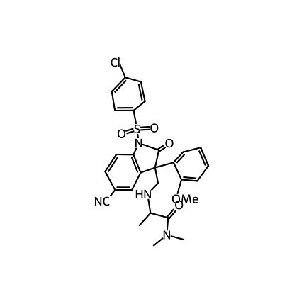 COc1ccccc1C1(CNC(C)C(=O)N(C)C)C(=O)N(S(=O)(=O)c2ccc(Cl)cc2)c2ccc(C#N)cc21